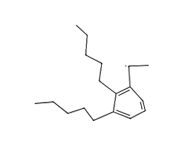 C[CH]c1cccc(CCCCC)c1CCCCC